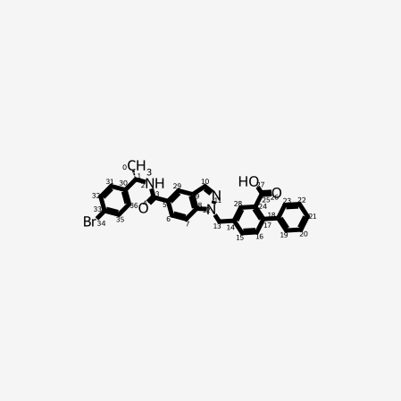 C[C@H](NC(=O)c1ccc2c(cnn2Cc2ccc(-c3ccccc3)c(C(=O)O)c2)c1)c1ccc(Br)cc1